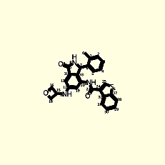 Cc1ccccc1C1NC(=O)c2cc(NC3COC3)cc(NC(=O)c3csc4ccccc34)c21